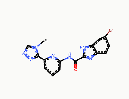 CC(C)n1cnnc1-c1cccc(NC(=O)c2nc3ccc(Br)cc3[nH]2)n1